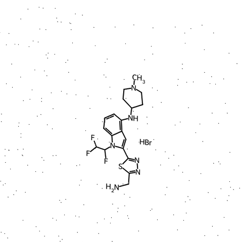 Br.CN1CCC(Nc2cccc3c2cc(-c2nnc(CN)s2)n3C(F)C(F)F)CC1